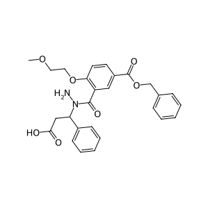 COCCOc1ccc(C(=O)OCc2ccccc2)cc1C(=O)N(N)C(CC(=O)O)c1ccccc1